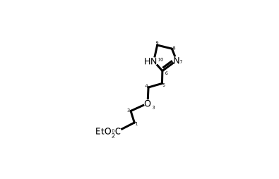 CCOC(=O)CCOCCC1=NCCN1